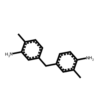 Cc1cc(Cc2ccc(C)c(N)c2)ccc1N